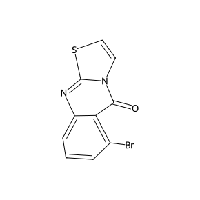 O=c1c2c(Br)cccc2nc2sccn12